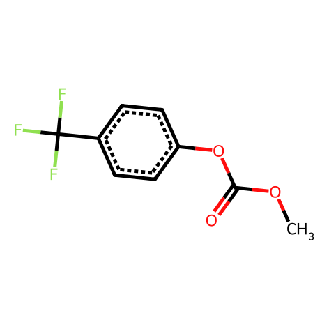 COC(=O)Oc1ccc(C(F)(F)F)cc1